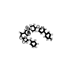 CC(C)C(CS(=O)(=O)N1CCC(Oc2ccc(-c3ccc(F)cc3)cn2)CC1)C(=O)N1C(=O)OC[C@H]1Cc1ccccc1